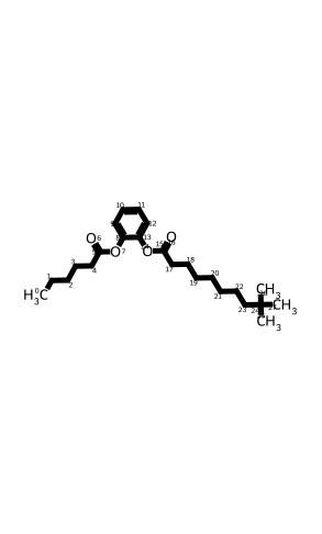 CCCCCC(=O)Oc1ccccc1OC(=O)CCCCCCCC(C)(C)C